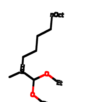 CCCCCCCCCCCC[SiH](C)C(OCC)OCC